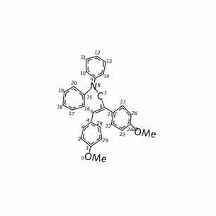 COc1ccc(C=C(CN(c2ccccc2)c2ccccc2)c2ccc(OC)cc2)cc1